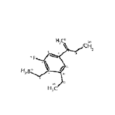 BCc1c(F)cc(C(=C)CC)cc1CC